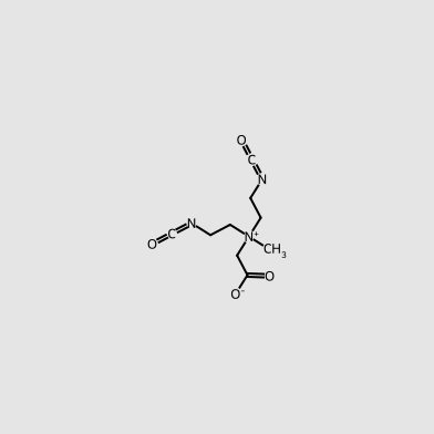 C[N+](CCN=C=O)(CCN=C=O)CC(=O)[O-]